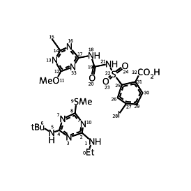 CCNc1nc(NC(C)(C)C)nc(SC)n1.COc1nc(C)nc(NC(=O)NS(=O)(=O)c2cc(I)ccc2C(=O)O)n1